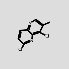 Cc1cnc2ccc(Cl)nc2c1Cl